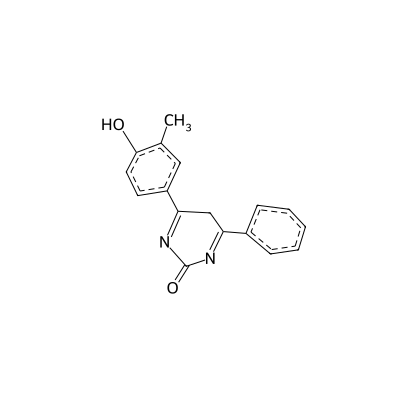 Cc1cc(C2=NC(=O)N=C(c3ccccc3)C2)ccc1O